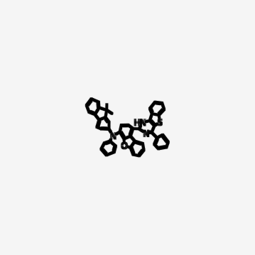 CC1(C)c2ccccc2-c2ccc(N(c3ccccc3)c3ccc(C4N=C(c5ccccc5)c5sc6ccccc6c5N4)c4c3oc3ccccc34)cc21